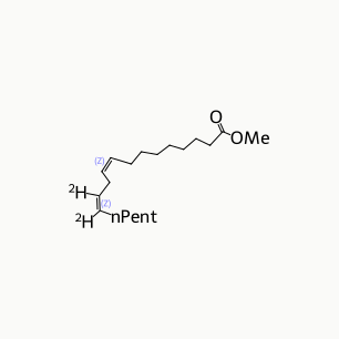 [2H]/C(C/C=C\CCCCCCCC(=O)OC)=C(\[2H])CCCCC